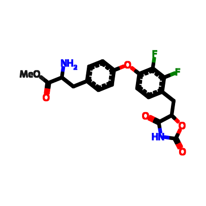 COC(=O)C(N)Cc1ccc(Oc2ccc(CC3OC(=O)NC3=O)c(F)c2F)cc1